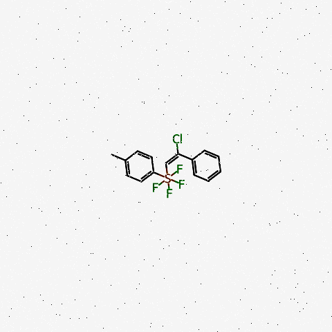 Cc1ccc(S(F)(F)(F)(F)/C=C(/Cl)c2ccccc2)cc1